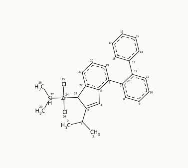 CC(C)C1=Cc2c(-c3ccccc3-c3ccccc3)cccc2[CH]1[Zr]([Cl])([Cl])[SiH](C)C